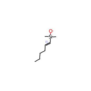 CCCC/C=C/[Si](C)(C)[O]